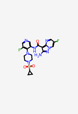 Nc1nn2cc(F)cnc2c1C(=O)Nc1cncc(F)c1N1CCN(S(=O)(=O)C2CC2)CC1